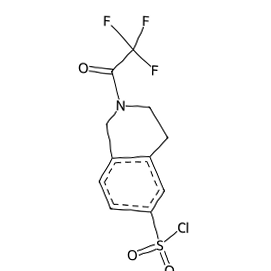 O=C(N1CCc2cc(S(=O)(=O)Cl)ccc2C1)C(F)(F)F